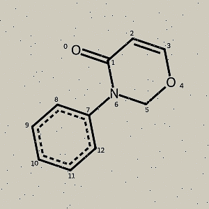 O=C1C=COCN1c1ccccc1